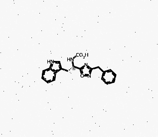 O=C(O)N[C@@H](Cc1c[nH]c2ccccc12)c1nc(Cc2ccccc2)no1